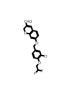 O=CC1=Cc2ccc(OCc3ccc(OCC(F)F)c(Cl)c3)cc2OC1